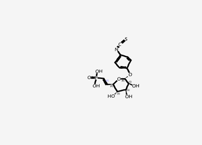 O=P(O)(O)/C=C/[C@H]1O[C@H](Oc2ccc(N=C=S)cc2)[C@@H](O)[C@@H](O)[C@@H]1O